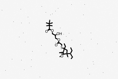 CCC(CC)C(C)(CC(CC)(CC)SCC(=O)OCC(O)COC(=O)C(C)(C)C(C)(C)C)C(=O)OC